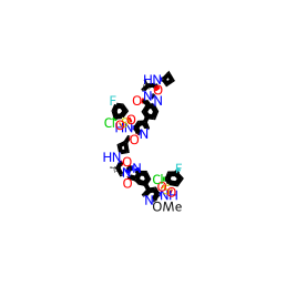 COc1ncc(-c2ccc3ncn(C[C@H](C)C(=O)NC4CC(COc5ncc(-c6ccc7ncn(C[C@@H](C)C(=O)NC8CCC8)c(=O)c7c6)cc5NS(=O)(=O)c5ccc(F)cc5Cl)C4)c(=O)c3c2)cc1NS(=O)(=O)c1ccc(F)cc1Cl